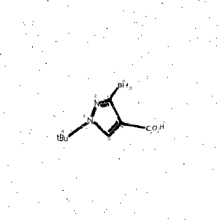 Bc1nn(C(C)(C)C)cc1C(=O)O